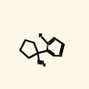 NC1(c2ccccc2F)CCCC1